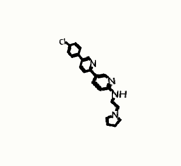 Clc1ccc(-c2ccc(-c3ccc(NCCN4CCCC4)nc3)nc2)cc1